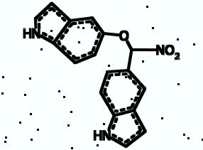 O=[N+]([O-])C(Oc1ccc2[nH]ccc2c1)c1ccc2[nH]ccc2c1